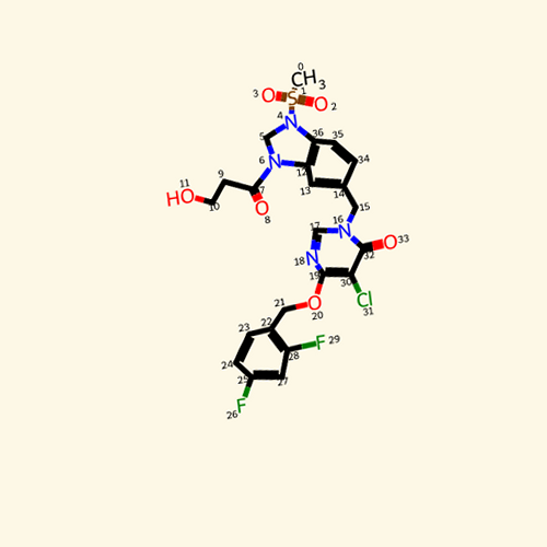 CS(=O)(=O)N1CN(C(=O)CCO)c2cc(Cn3cnc(OCc4ccc(F)cc4F)c(Cl)c3=O)ccc21